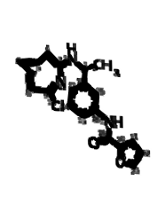 C[C@H](NC1=C/C=C/C=C/C(Cl)=N\1)c1cccc(NC(=O)c2ccco2)c1